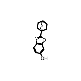 Oc1ccc2nc(C34CCC(CC3)CC4)oc2c1